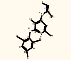 C/C=C(/CC)Oc1cc(C)nc(Oc2c(C)cc(C)cc2C)c1C